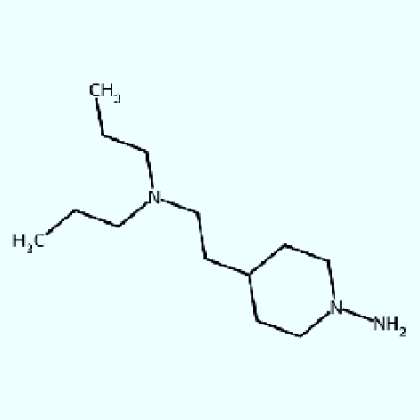 CCCN(CCC)CCC1CCN(N)CC1